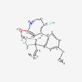 C=CC1(c2cc(CC)ccc2-c2cc(OC)ncc2F)CCCC1